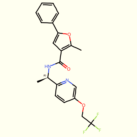 Cc1oc(-c2ccccc2)cc1C(=O)N[C@H](C)c1ccc(OCC(F)(F)F)cn1